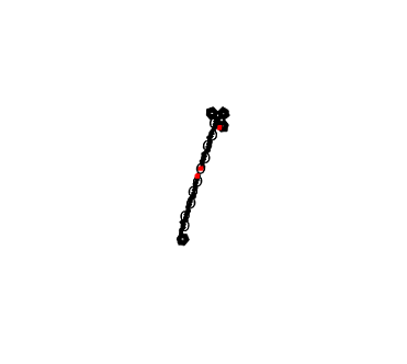 c1ccc(COCCOCCOCCOCCOCCOCCOCCOCCOCCOC(c2ccccc2)(c2ccccc2)c2ccccc2)cc1